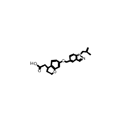 CC(C)Cn1ncc2cc(COc3ccc4c(c3)OCCC4CC(=O)O)ccc21